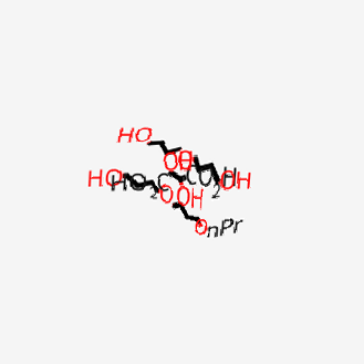 CCCOCCCCOCCCCO.O=C(O)C(O)C(O)C(=O)O.OCCCCOCCCCO